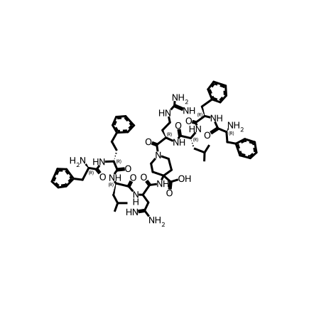 CC(C)C[C@@H](NC(=O)[C@@H](CCc1ccccc1)NC(=O)[C@H](N)Cc1ccccc1)C(=O)NC(CC(=N)N)C(=O)NC1(C(=O)O)CCN(C(=O)[C@@H](CCNC(=N)N)NC(=O)[C@@H](CC(C)C)NC(=O)[C@@H](Cc2ccccc2)NC(=O)[C@H](N)Cc2ccccc2)CC1